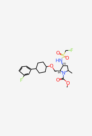 COC(=O)N1C(C)C[C@H](NS(=O)(=O)CF)[C@@H]1COC1CCC(c2cccc(F)c2)CC1